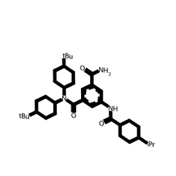 CC(C)C1CCC(C(=O)Nc2cc(C(N)=O)cc(C(=O)N(C3CCC(C(C)(C)C)CC3)C3CCC(C(C)(C)C)CC3)c2)CC1